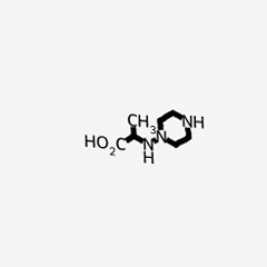 CC(NN1CCNCC1)C(=O)O